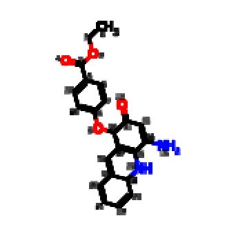 CCOC(=O)c1ccc(OC2C(=O)C=C(N)C3=C2C=C2C=CC=CC2N3)cc1